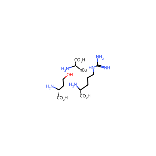 CCCCC(N)C(=O)O.N=C(N)NCCC[C@@H](N)C(=O)O.N[C@H](CCO)C(=O)O